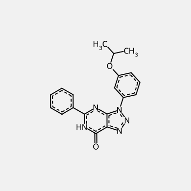 CC(C)Oc1cccc(-n2nnc3c(=O)[nH]c(-c4ccccc4)nc32)c1